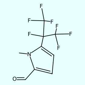 Cn1c(C=O)ccc1C(F)(C(F)(F)F)C(F)(F)F